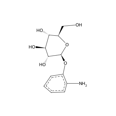 Nc1ccccc1O[C@@H]1O[C@H](CO)[C@@H](O)[C@H](O)[C@H]1O